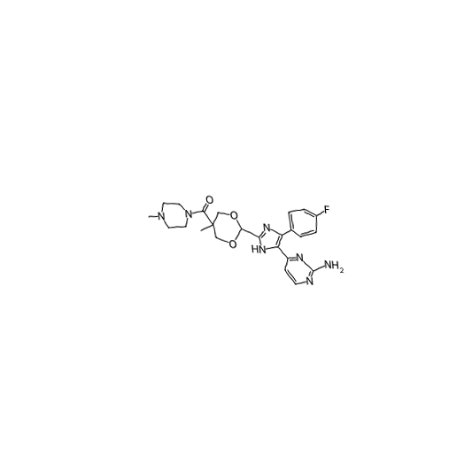 CN1CCN(C(=O)C2(C)COC(c3nc(-c4ccc(F)cc4)c(-c4ccnc(N)n4)[nH]3)OC2)CC1